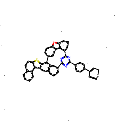 C1=CC(c2ccc(-c3nc(-c4ccccc4)nc(-c4cccc5oc6ccc(-c7cccc8c7sc7ccc9ccccc9c78)cc6c45)n3)cc2)=CCC1